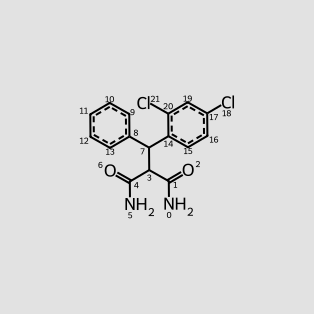 NC(=O)C(C(N)=O)C(c1ccccc1)c1ccc(Cl)cc1Cl